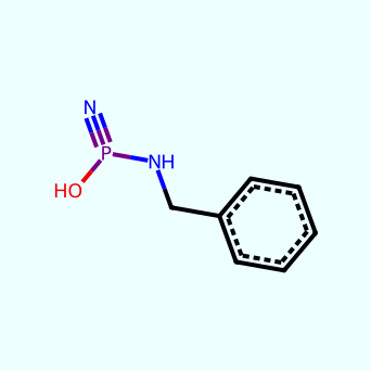 N#P(O)NCc1ccccc1